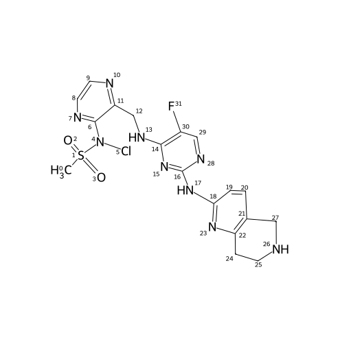 CS(=O)(=O)N(Cl)c1nccnc1CNc1nc(Nc2ccc3c(n2)CCNC3)ncc1F